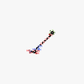 N=N/C(=C\NCCOCCOCCOCCOCCC(=O)Oc1c(F)c(F)c(F)c(F)c1F)CCNC1OC(CCN(O)O)CC(O)C1O